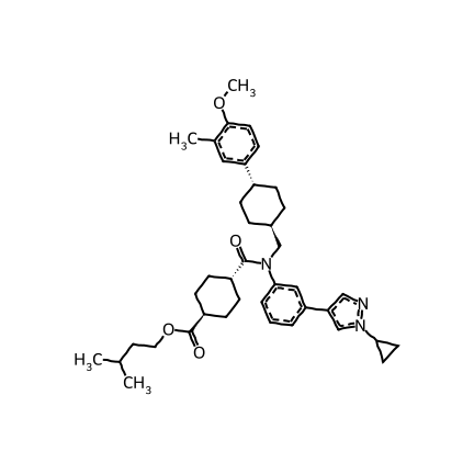 COc1ccc([C@H]2CC[C@H](CN(c3cccc(-c4cnn(C5CC5)c4)c3)C(=O)[C@H]3CC[C@H](C(=O)OCCC(C)C)CC3)CC2)cc1C